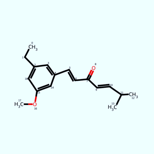 CCc1cc(/C=C/C(=O)/C=C/C(C)C)cc(OC)c1